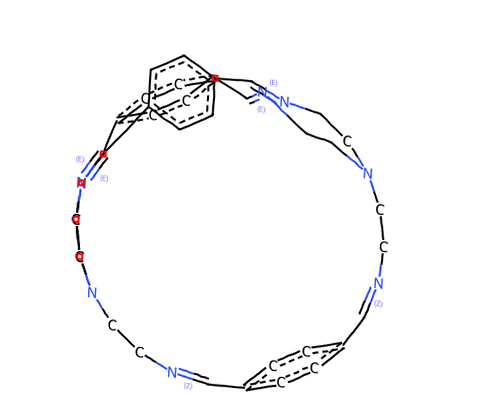 C1=N\CCN2CC/N=C/c3ccc(cc3)/C=N/CCN(CC/N=C\c3ccc/1cc3)CC/N=C/c1ccc(cc1)/C=N/CC2